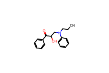 N#CCCN(CC(O)C(=O)c1ccccc1)c1ccccc1